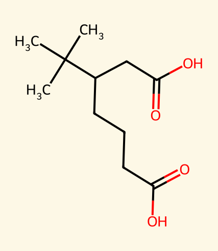 CC(C)(C)C(CCCC(=O)O)CC(=O)O